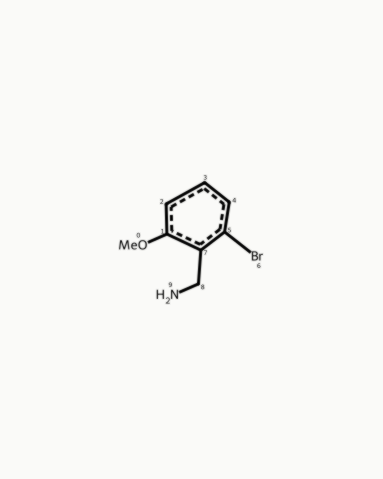 COc1cccc(Br)c1CN